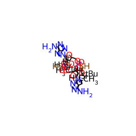 CC(C)(C)[Si](C)(C)OC1C2COP(=O)(S)O[C@@H]3C(COP(=O)(S)O[C@H]1[C@H](n1cnc4c(N)ncnc41)O2)O[C@@H](n1ccc2c(N)ncnc21)C3O[Si](C)(C)C(C)(C)C